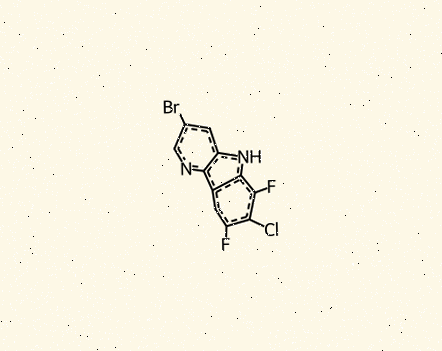 Fc1cc2c([nH]c3cc(Br)cnc32)c(F)c1Cl